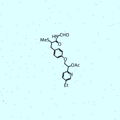 CCc1ccc(C(COc2ccc(CC(SC)C(=O)NC=O)cc2)OC(C)=O)nc1